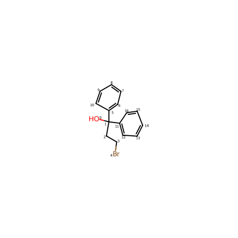 OC(CCBr)(c1ccccc1)c1ccccc1